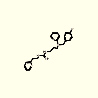 N=C(NCCCN(Cc1ccc(Br)cc1)c1ccccn1)NCCc1ccccn1